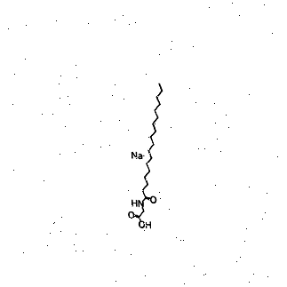 CCCCCCCCCCCCCCCCCC(=O)NCC(=O)O.[Na]